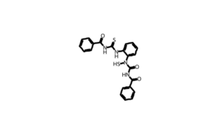 O=C(NC(=O)N(S)c1ccccc1NC(=S)NC(=O)c1ccccc1)c1ccccc1